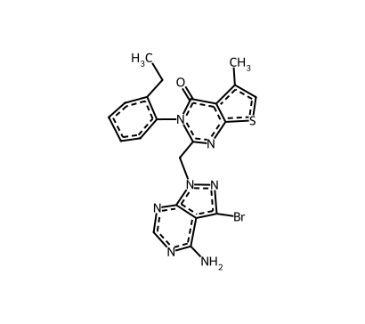 CCc1ccccc1-n1c(Cn2nc(Br)c3c(N)ncnc32)nc2scc(C)c2c1=O